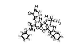 CC1(C)CC(C(=O)NC(CC2CCNC2=O)C(=O)C(=O)NCc2ccccc2)N(C(=O)c2cc3ccccc3[nH]2)C1